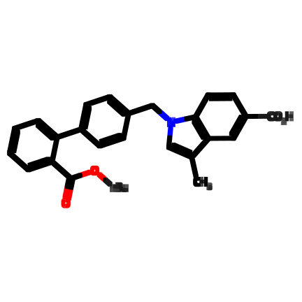 CCCCOC(=O)c1ccccc1-c1ccc(Cn2cc(C)c3cc(C(=O)O)ccc32)cc1